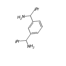 CC(C)C(N)c1cccc(C(N)C(C)C)c1